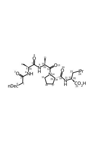 CCCCCCCCCCCC(=O)N[C@@H](C)C(=O)N[C@@H](C)C(=O)N1CCC[C@H]1C(=O)N[C@@H](CC(C)C)C(=O)O